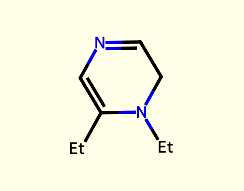 CCC1=CN=CCN1CC